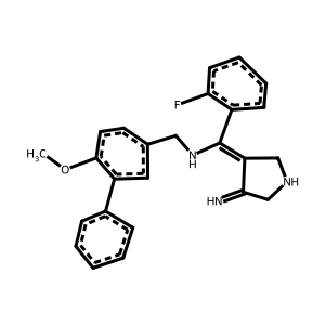 COc1ccc(CN/C(=C2/CNCC2=N)c2ccccc2F)cc1-c1ccccc1